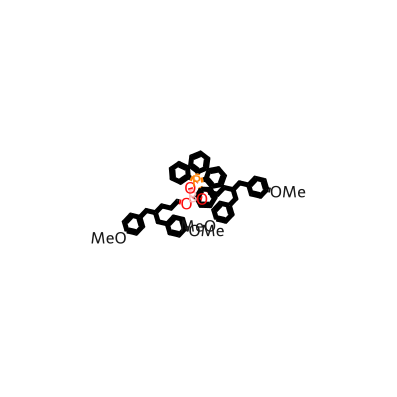 COc1ccc(CC(CCCOB(OCCCC(Cc2ccc(OC)cc2)Cc2ccc(OC)cc2)OP(c2ccccc2)(c2ccccc2)(c2ccccc2)c2ccccc2)Cc2ccc(OC)cc2)cc1